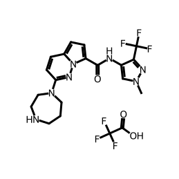 Cn1cc(NC(=O)c2ccc3ccc(N4CCCNCC4)nn23)c(C(F)(F)F)n1.O=C(O)C(F)(F)F